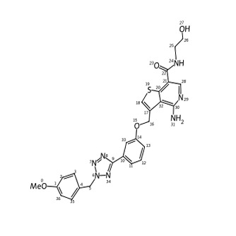 COc1ccc(Cn2nnc(-c3cccc(OCc4csc5c(C(=O)NCCO)cnc(N)c45)c3)n2)cc1